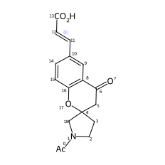 CC(=O)N1CCC2(CC(=O)c3cc(/C=C/C(=O)O)ccc3O2)C1